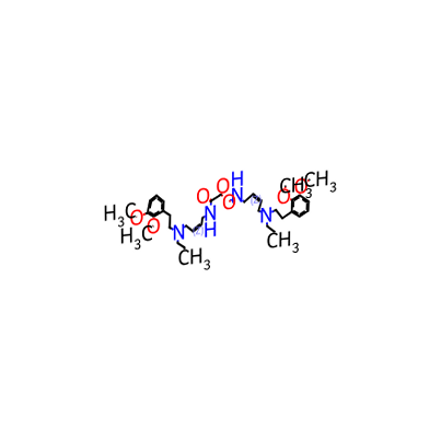 CCCN(C/C=C\CNOC(=O)C(=O)NC/C=C\CN(CCC)CCc1cccc(OC)c1OC)CCc1cccc(OC)c1OC